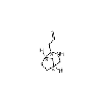 C=CC[C@H]1NC[C@H]2CC[C@@H]1C2